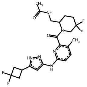 CC(=O)NCC1CCC(F)(F)CN1C(=O)c1nc(Nc2cc(C3CC(F)(F)C3)[nH]n2)ccc1C